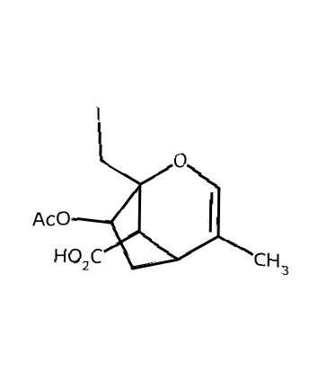 CC(=O)OC1CC2C(C)=COC1(CI)C2C(=O)O